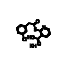 O=C(Cc1cccc(Cl)c1)Sc1ncccc1C(=O)O.[KH]